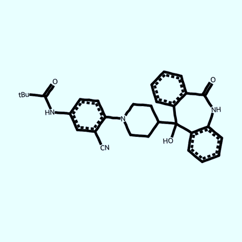 CC(C)(C)C(=O)Nc1ccc(N2CCC(C3(O)c4ccccc4NC(=O)c4ccccc43)CC2)c(C#N)c1